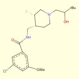 COc1cc(Cl)cc(C(=O)NC[C@H]2CCN(CC(O)C(C)(C)C)C[C@H]2F)c1